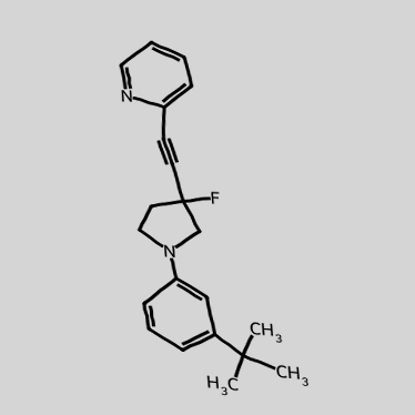 CC(C)(C)c1cccc(N2CCC(F)(C#Cc3ccccn3)C2)c1